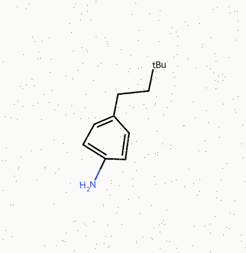 CC(C)(C)CCc1ccc(N)cc1